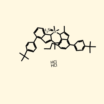 CCCc1ccc(-c2ccc(C(C)(C)C)cc2)c2c1[CH]([Zr]([CH3])([CH3])(=[SiH2])[CH]1C(C(C)C)=Cc3c(-c4ccc(C(C)(C)C)cc4)cccc31)C(C)=C2.Cl.Cl